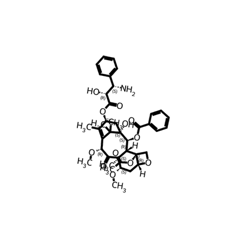 CO[C@H]1C(=O)[C@]2(C)[C@@H](OC)C[C@H]3OC[C@@]3(OC(C)=O)[C@H]2[C@H](OC(=O)c2ccccc2)[C@]2(O)C[C@H](OC(=O)[C@H](O)[C@@H](N)c3ccccc3)C(C)=C1C2(C)C